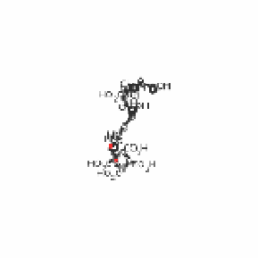 O=C(O)CN1CCN(CC(=O)O)CCN(CC(=O)O)C(Cc2ccc(NC(=O)NCCOCCCOc3cc(O)cc(C(=O)NC[C@H](NC(=O)c4c(Cl)cc(C(=O)NCc5cccc(O)c5)cc4Cl)C(=O)O)c3)cc2)CN(CC(=O)O)CC1